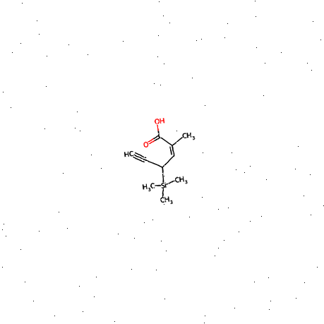 C#CC(C=C(C)C(=O)O)[Si](C)(C)C